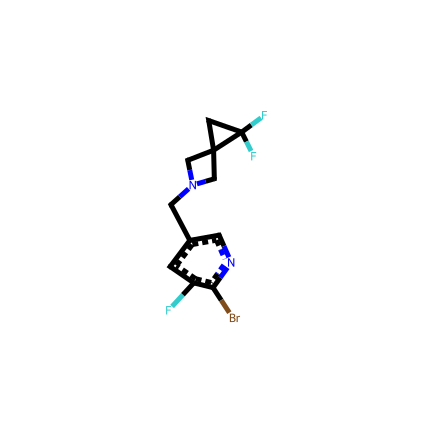 Fc1cc(CN2CC3(C2)CC3(F)F)cnc1Br